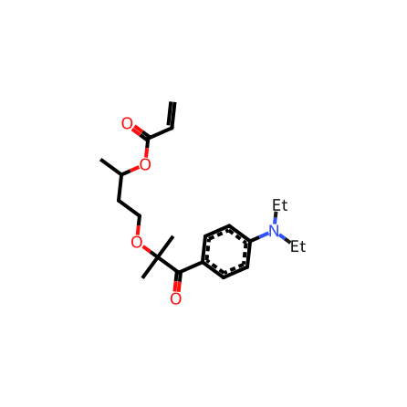 C=CC(=O)OC(C)CCOC(C)(C)C(=O)c1ccc(N(CC)CC)cc1